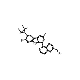 Cc1cc(-c2nccc3cc(CC(C)C)ccc23)c2oc3cc(F)c(C4C(C)(C)C4(C)C)cc3c2c1